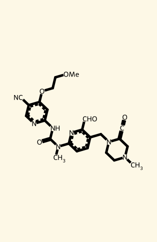 COCCOc1cc(NC(=O)N(C)c2ccc(CN3CCN(C)CC3=C=O)c(C=O)n2)ncc1C#N